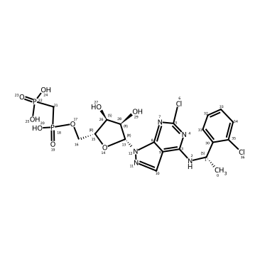 C[C@H](Nc1nc(Cl)nc2c1cnn2[C@@H]1O[C@H](COP(=O)(O)CP(=O)(O)O)[C@@H](O)[C@H]1O)c1ccccc1Cl